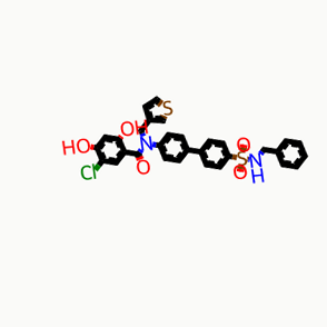 O=C(c1cc(Cl)c(O)cc1O)N(Cc1ccsc1)c1ccc(-c2ccc(S(=O)(=O)NCc3ccccc3)cc2)cc1